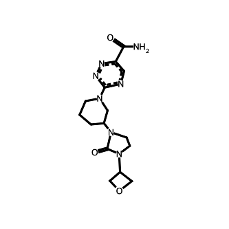 NC(=O)c1cnc(N2CCCC(N3CCN(C4COC4)C3=O)C2)nn1